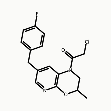 CC1CN(C(=O)CCl)c2cc(Cc3ccc(F)cc3)cnc2O1